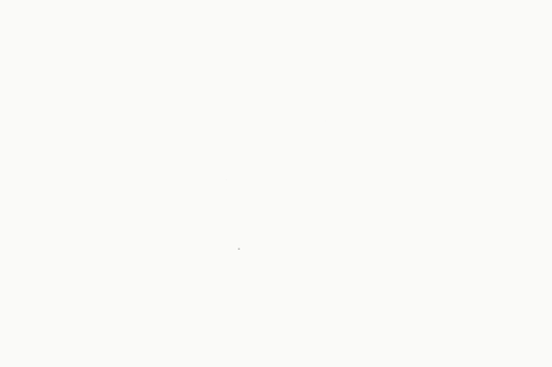 CC(COCCOCC(=O)O)OCCOCC(=O)O